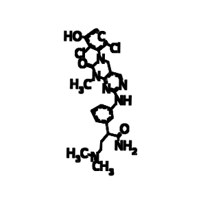 CN(C)CCC(C(N)=O)c1cccc(Nc2ncc3c(n2)N(C)C(=O)N(c2c(Cl)ccc(O)c2Cl)C3)c1